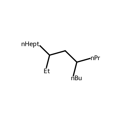 CCCCCCCC(CC)CC(CCC)CCCC